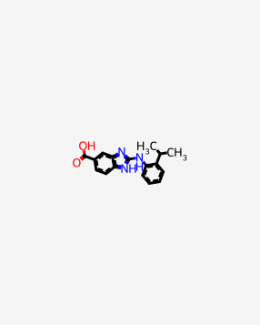 CC(C)c1ccccc1Nc1nc2cc(C(=O)O)ccc2[nH]1